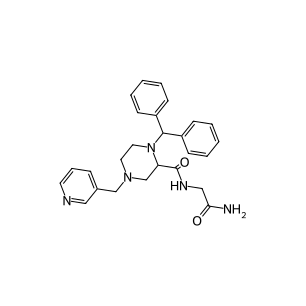 NC(=O)CNC(=O)C1CN(Cc2cccnc2)CCN1C(c1ccccc1)c1ccccc1